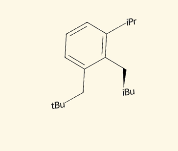 CC[C@H](C)Cc1c(CC(C)(C)C)cccc1C(C)C